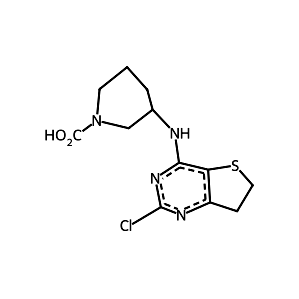 O=C(O)N1CCCC(Nc2nc(Cl)nc3c2SCC3)C1